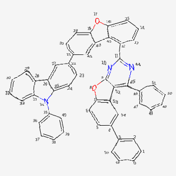 c1ccc(-c2ccc3oc4nc(-c5cccc6oc7ccc(-c8ccc9c(c8)c8ccccc8n9-c8ccccc8)cc7c56)nc(-c5ccccc5)c4c3c2)cc1